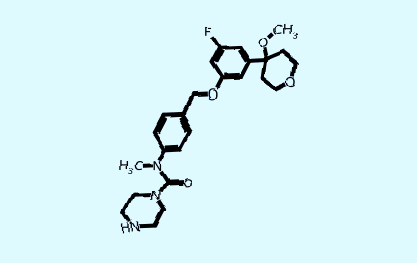 COC1(c2cc(F)cc(OCc3ccc(N(C)C(=O)N4CCNCC4)cc3)c2)CCOCC1